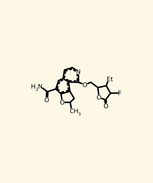 CCC1C(COc2nccc3cc(C(N)=O)c4c(c23)CC(C)O4)OC(=O)C1F